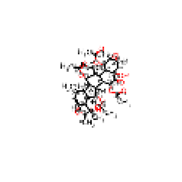 C=C1OC2=C[C@@H](C)[C@H]3[C@@H]([C@H](OC(C)=O)[C@H]4C5C([C@H](C)[C@H](OC(C)=O)[C@]34C)[C@@]3(C)[C@@H](OC(C)=O)[C@H]4O[C@H]4C[C@]3(O)C(=O)[C@@H]5OC(C)=O)[C@@]2(C)[C@]1(C)O